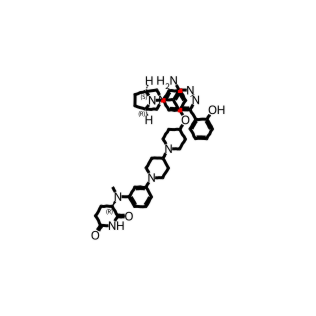 CN(c1cccc(N2CCC(N3CCC(Oc4cccc(N5[C@@H]6CC[C@H]5CN(c5cc(-c7ccccc7O)nnc5N)C6)c4)CC3)CC2)c1)[C@@H]1CCC(=O)NC1=O